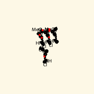 COc1cccc(Oc2ccccc2N2CCN(CCCc3c[nH]c4cc(Cl)ccc34)CC2)c1.COc1ccccc1Oc1ccccc1N1CCN(CCCc2c[nH]c3cc(Cl)ccc23)CC1.COc1ccccc1Oc1ccccc1N1CCN(CCCc2c[nH]c3ccccc23)CC1.Clc1ccc2c(CCCN3CCN(c4ccccc4Oc4ccc5c(c4)OCCO5)CC3)c[nH]c2c1